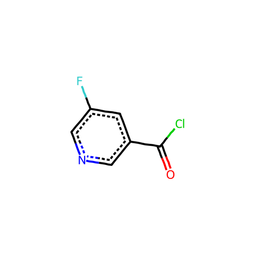 O=C(Cl)c1cncc(F)c1